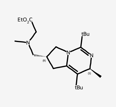 CCOC(=O)CN(C)C[C@H]1CC2=C(C(C)(C)C)[C@H](C)N=C(C(C)(C)C)N2C1